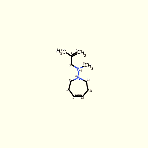 C=C(C)CN(C)N1CCC=CCC1